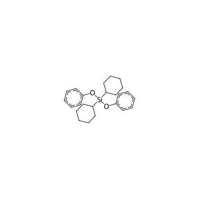 c1ccc(O[Si](Oc2ccccc2)(C2CCCCC2)C2CCCCC2)cc1